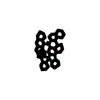 c1ccc(-c2c(N(c3ccc4c(c3)C3(c5ccccc5-c5ccccc53)c3ccccc3-4)c3c4ccccc4cc4ccccc34)ccc3ccccc23)cc1